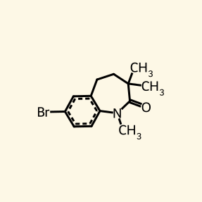 CN1C(=O)C(C)(C)CCc2cc(Br)ccc21